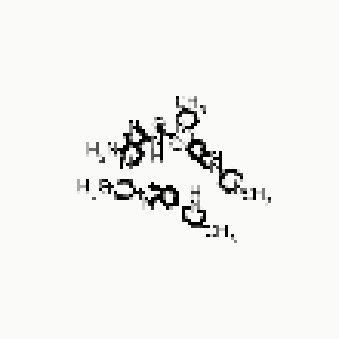 C[C@H]1CC[C@H](c2ccc3cn(C4CCN(C)CC4)nc3c2)N(C(=O)C(=O)Nc2cncc3c(N)nccc23)C1.C[C@H]1CC[C@H](c2ccc3cn(C4CCN(C)CC4)nc3c2)NC1